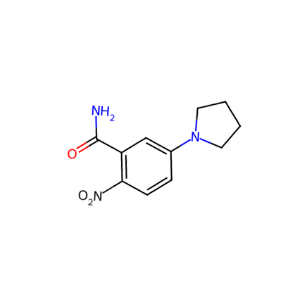 NC(=O)c1cc(N2CCCC2)ccc1[N+](=O)[O-]